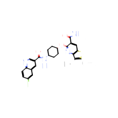 Cc1sc2cc(C(N)=O)c(O[C@H]3CC[C@H](NC(=O)c4cnc5ccc(F)cc5c4)CC3)nc2c1C